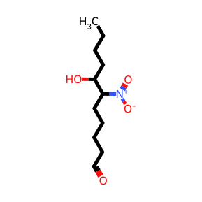 CCCCC(O)C(CCCCC=O)[N+](=O)[O-]